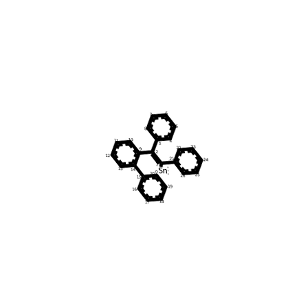 [Sn][C](=C(c1ccccc1)c1ccccc1-c1ccccc1)c1ccccc1